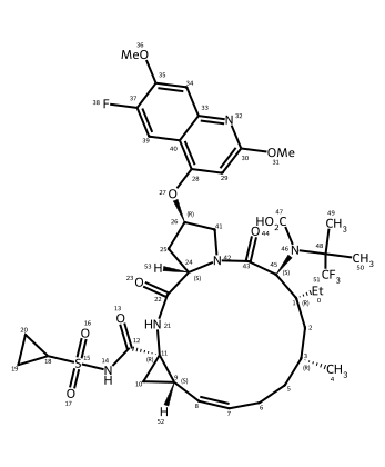 CC[C@@H]1C[C@H](C)CCC=C[C@@H]2C[C@@]2(C(=O)NS(=O)(=O)C2CC2)NC(=O)[C@@H]2C[C@@H](Oc3cc(OC)nc4cc(OC)c(F)cc34)CN2C(=O)[C@H]1N(C(=O)O)C(C)(C)C(F)(F)F